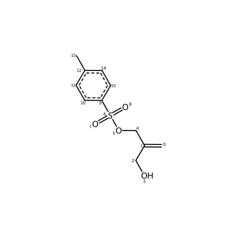 C=C(CO)COS(=O)(=O)c1ccc(C)cc1